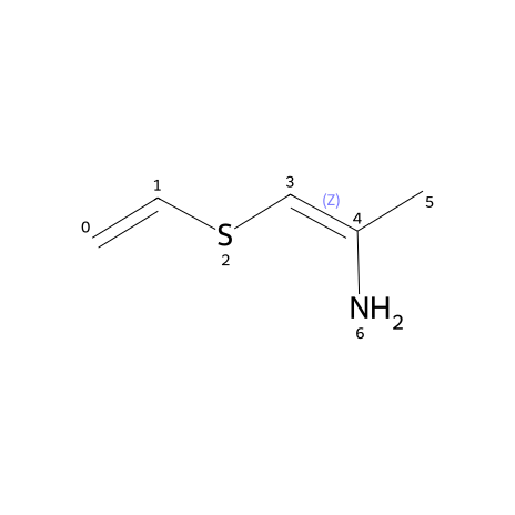 C=CS/C=C(/C)N